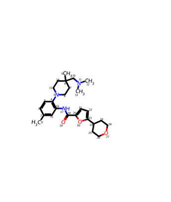 Cc1ccc(N2CCC(C)(CN(C)C)CC2)c(NC(=O)c2ccc(C3CCOCC3)o2)c1